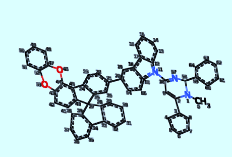 CN1C(c2ccccc2)=CC(n2c3ccccc3c3cc(-c4ccc5c(c4)C4(c6ccccc6-c6ccccc64)c4ccc6c(c4-5)Oc4ccccc4O6)ccc32)=NC1c1ccccc1